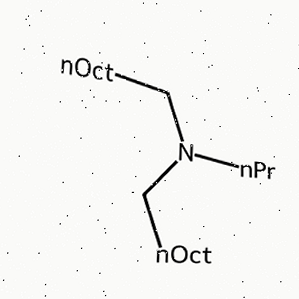 CCCCCCCCCN(CCC)CCCCCCCCC